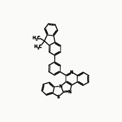 CC1(C)c2ccccc2-c2ccc(-c3cccc(-c4nc5ccccc5c5nc6sc7ccccc7n6c45)c3)cc21